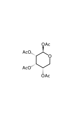 CC(=O)O[C@H]1OC[C@H](OC(C)=O)[C@H](OC(C)=O)[C@@H]1OC(C)=O